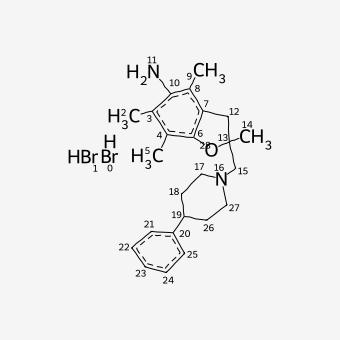 Br.Br.Cc1c(C)c2c(c(C)c1N)CC(C)(CN1CCC(c3ccccc3)CC1)O2